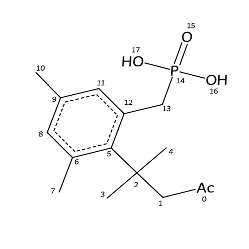 CC(=O)CC(C)(C)c1c(C)cc(C)cc1CP(=O)(O)O